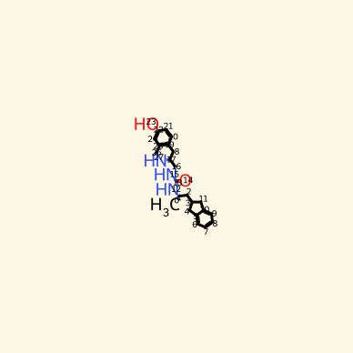 C[C@H](CC1Cc2ccccc2C1)NC(=O)NCC1Cc2ccc(O)cc2CN1